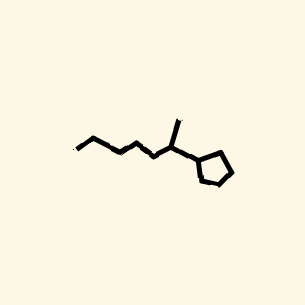 [CH2]CCCCC([CH2])C1CCCC1